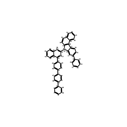 c1ccc(-c2ccc(-c3ccc(-c4nc(-n5c6cc(-c7ccccc7)ccc6c6c7ccccc7ccc65)nc5ccccc45)cc3)cc2)cc1